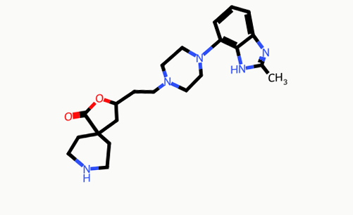 Cc1nc2cccc(N3CCN(CCC4CC5(CCNCC5)C(=O)O4)CC3)c2[nH]1